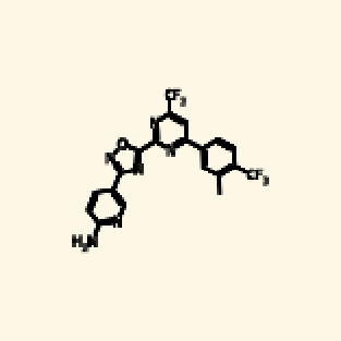 Cc1cc(-c2cc(C(F)(F)F)nc(-c3nc(-c4ccc(N)nc4)no3)n2)ccc1C(F)(F)F